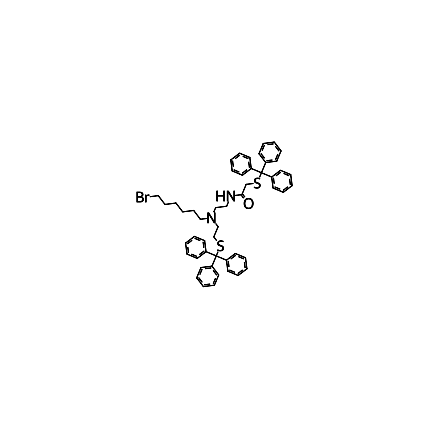 O=C(CSC(c1ccccc1)(c1ccccc1)c1ccccc1)NCCN(CCCCCCBr)CCSC(c1ccccc1)(c1ccccc1)c1ccccc1